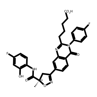 C[C@]1(C(=O)Nc2ccc(F)cc2O)CC(c2ccc3c(=O)n(-c4ccc(F)cc4)c(CCCCC(=O)O)nc3c2)=NO1